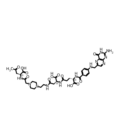 CC(=O)C[C@H](NC(=O)CN1CCN(CCNC(=O)C[C@H](NC(=O)CC[C@H](NC(=O)c2ccc(NCc3cnc4nc(N)[nH]c(=O)c4n3)cc2)C(=O)O)C(=O)O)CC1)C(=O)O